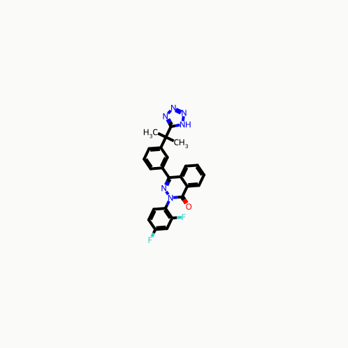 CC(C)(c1cccc(-c2nn(-c3ccc(F)cc3F)c(=O)c3ccccc23)c1)c1nnn[nH]1